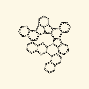 c1ccc2c(-c3nc4ccccc4nc3-n3c4ccccc4c4c5ccccc5c5c6cccc7c8c9ccccc9ccc8n(c76)c5c43)cccc2c1